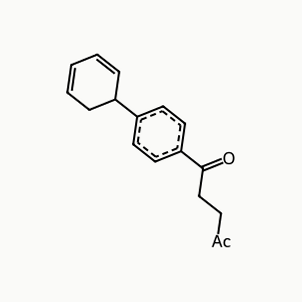 CC(=O)CCC(=O)c1ccc(C2C=CC=CC2)cc1